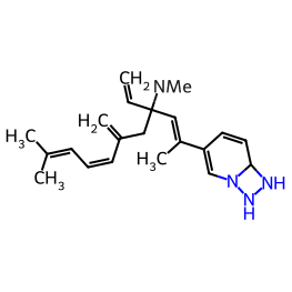 C=CC(/C=C(\C)C1=CN2NNC2C=C1)(CC(=C)/C=C\C=C(C)C)NC